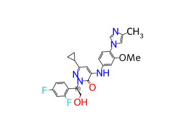 COc1cc(Nc2cc(C3CC3)nn([C@@H](CO)c3ccc(F)cc3F)c2=O)ccc1-n1cnc(C)c1